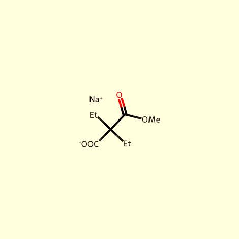 CCC(CC)(C(=O)[O-])C(=O)OC.[Na+]